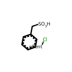 CCCCCCl.O=S(=O)(O)Cc1ccccc1